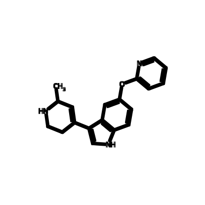 CC1C=C(c2c[nH]c3ccc(Oc4ccccn4)cc23)CCN1